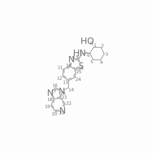 O[C@@H]1CCCC[C@H]1Nc1nc2ccc(Cn3cnc4ccncc43)cc2s1